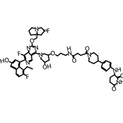 CCc1c(F)ccc2cc(O)cc(-c3ncc4c(N5CC(O)CC(OCCCNC(=O)CCC(=O)N6CCC(c7ccc(NC8CCC(=O)NC8=O)cc7)CC6)C5)nc(OC[C@@]56CCCN5C[C@H](F)C6)nc4c3F)c12